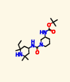 CCC1(C)CC(NC(=O)N2CCCC(NC(=O)OC(C)(C)C)C2)CC(C)(C)N1